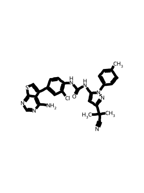 Cc1ccc(-n2nc(C(C)(C)C#N)cc2NC(=O)Nc2ccc(-c3csc4ncnc(N)c34)cc2Cl)cc1